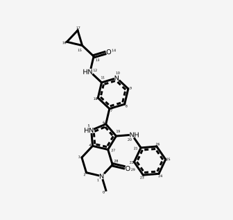 CN1CCc2[nH]c(-c3ccnc(NC(=O)C4CC4)c3)c(Nc3ccccc3)c2C1=O